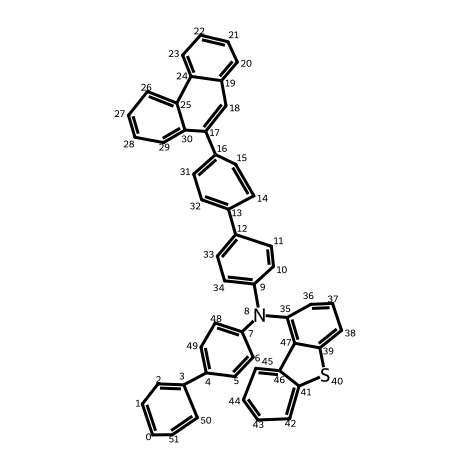 c1ccc(-c2ccc(N(c3ccc(-c4ccc(-c5cc6ccccc6c6ccccc56)cc4)cc3)c3cccc4sc5ccccc5c34)cc2)cc1